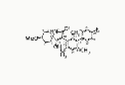 CO[C@H]1CC[C@]2(CC1)NC(=O)C(c1c(C)cc(C)c(-c3ccc(F)cc3)c1C)=C2O